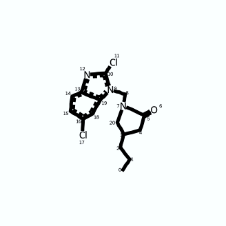 CCCC1CC(=O)N(Cn2c(Cl)nc3ccc(Cl)cc32)C1